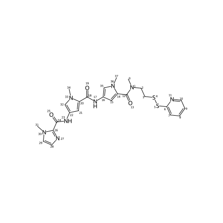 CN(CCSSc1ccccn1)C(=O)c1cc(NC(=O)c2cc(NC(=O)c3nccn3C)cn2C)cn1C